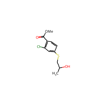 COC(=O)c1ccc(SCC(C)O)cc1Cl